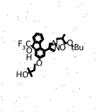 CC(Cn1cc(-c2cc(OCCC(C)(C)O)cc3c2-c2ccccc2[C@]3(O)C(F)(F)F)cn1)C(=O)OC(C)(C)C